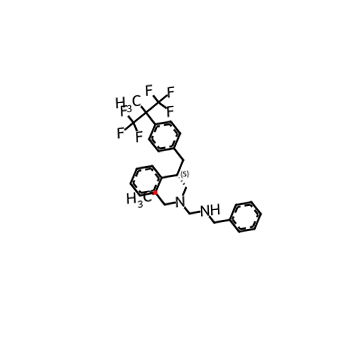 CCCN(CNCc1ccccc1)C[C@@H](Cc1ccc(C(C)(C(F)(F)F)C(F)(F)F)cc1)c1ccccc1